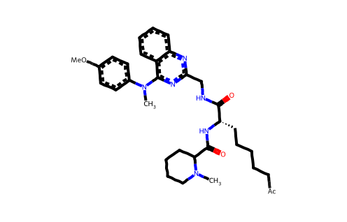 COc1ccc(N(C)c2nc(CNC(=O)[C@H](CCCCCC(C)=O)NC(=O)C3CCCCN3C)nc3ccccc23)cc1